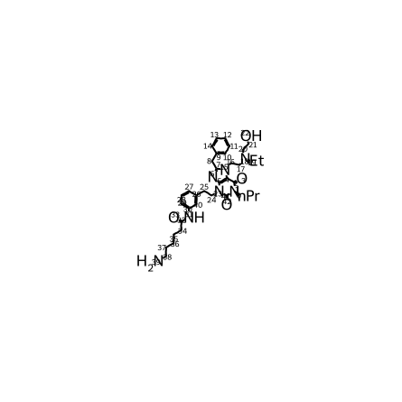 CCCn1c(=O)c2c(nc(Cc3ccccc3)n2CCN(CC)CCO)n(CCc2cccc(NC(=O)CCCCCN)c2)c1=O